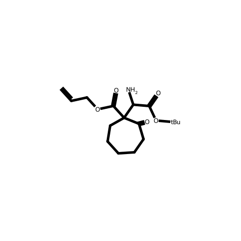 C=CCOC(=O)C1(C(N)C(=O)OC(C)(C)C)CCCCCC1=O